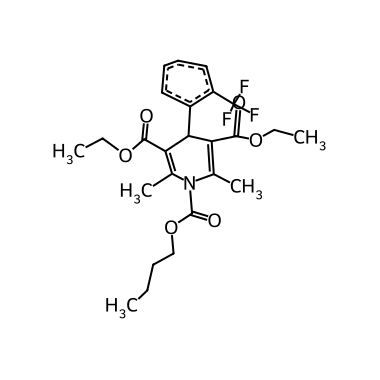 CCCCOC(=O)N1C(C)=C(C(=O)OCC)C(c2ccccc2C(F)(F)F)C(C(=O)OCC)=C1C